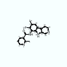 Cc1ncccc1C(=O)Nc1c(F)c(I)cc2c1[nH]c1cnccc12